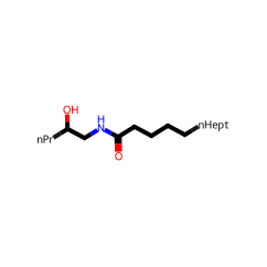 CCCCCCCCCCCC(=O)NCC(O)CCC